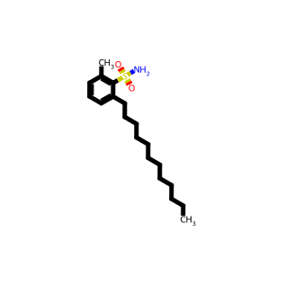 CCCCCCCCCCCCc1cccc(C)c1S(N)(=O)=O